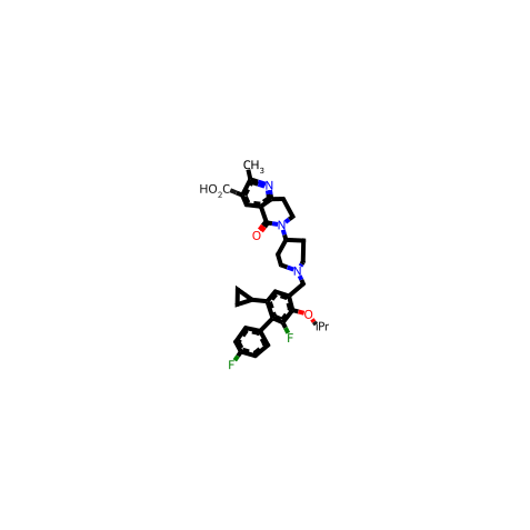 Cc1nc2c(cc1C(=O)O)C(=O)N(C1CCN(Cc3cc(C4CC4)c(-c4ccc(F)cc4)c(F)c3OC(C)C)CC1)CC2